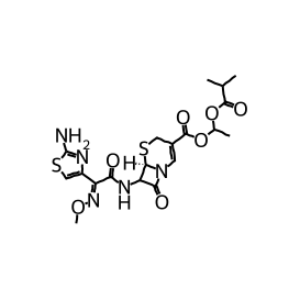 CON=C(C(=O)NC1C(=O)N2C=C(C(=O)OC(C)OC(=O)C(C)C)CS[C@H]12)c1csc(N)n1